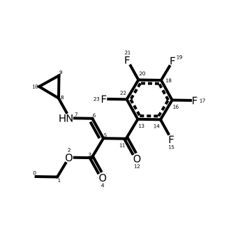 CCOC(=O)C(=CNC1CC1)C(=O)c1c(F)c(F)c(F)c(F)c1F